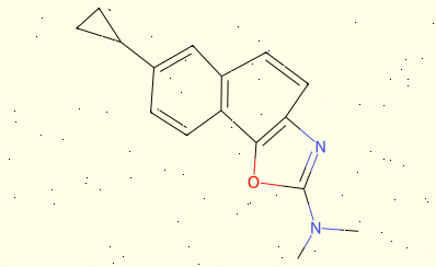 CN(C)c1nc2ccc3cc(C4CC4)ccc3c2o1